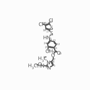 CONc1ncc(COC(=O)c2ccc(NSc3cc(Cl)c(Cl)s3)cc2O)n1C